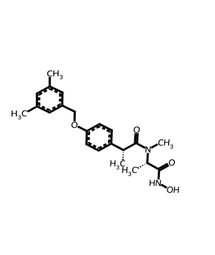 Cc1cc(C)cc(COc2ccc([C@@H](C)C(=O)N(C)[C@@H](C)C(=O)NO)cc2)c1